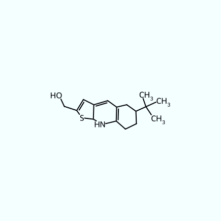 CC(C)(C)C1CCC2=C(C=C3C=C(CO)SC3N2)C1